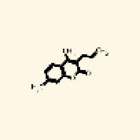 C=CCc1c(C)c2ccc(C)cc2oc1=O